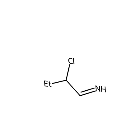 [CH2]CC(Cl)C=N